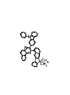 CC1(C)c2ccccc2-c2cc3c(-c4nc5c(ccc6ccccc65)nc4-c4ccc5c6ccccc6n(-c6ccccc6)c5c4)cccc3cc21